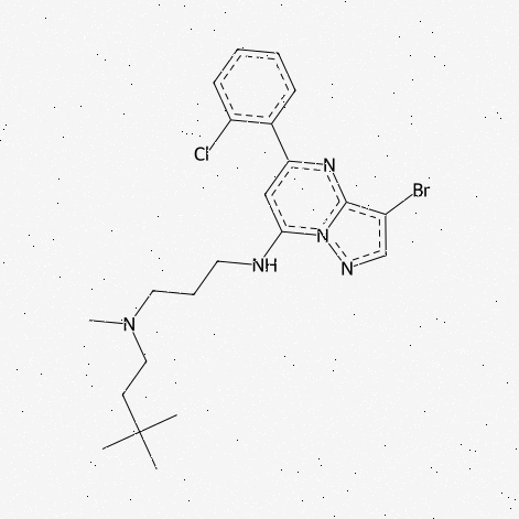 CN(CCCNc1cc(-c2ccccc2Cl)nc2c(Br)cnn12)CCC(C)(C)C